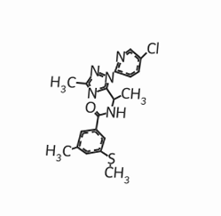 CSc1cc(C)cc(C(=O)NC(C)c2nc(C)nn2-c2ccc(Cl)cn2)c1